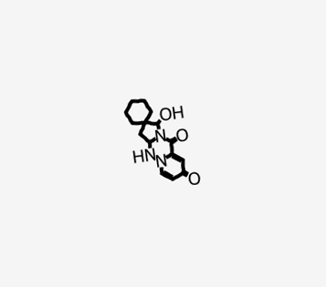 O=C1c2cc(=O)ccn2NC2CC3(CCCCC3)C(O)N12